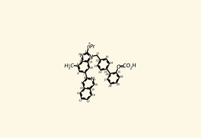 CCCc1nc2c(C)cc(-c3cc4ccccc4cn3)cc2n1Cc1ccc(-c2ccccc2OC(=O)O)cc1